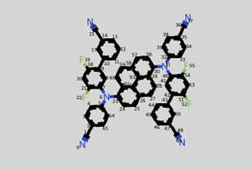 N#Cc1ccc(N(c2cc(-c3cccc(C#N)c3)c(F)cc2F)c2ccc3ccc4c(N(c5ccc(C#N)cc5)c5cc(-c6cccc(C#N)c6)c(F)cc5F)ccc5ccc2c3c54)cc1